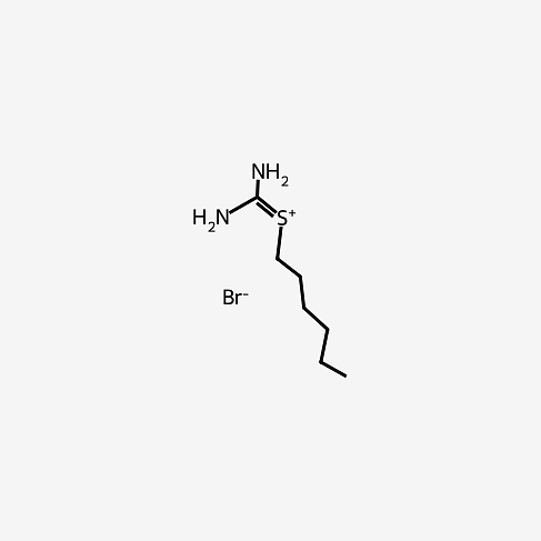 CCCCCC[S+]=C(N)N.[Br-]